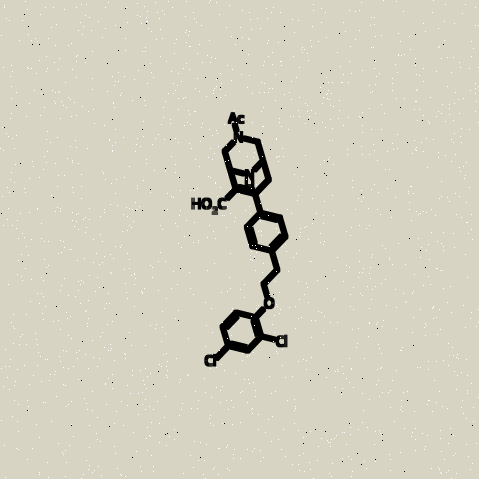 CC(=O)N1CC2CC(c3ccc(CCOc4ccc(Cl)cc4Cl)cc3)=C(C(=O)O)C(C1)N2